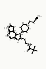 CC(C)(C)C(=O)NCCc1nc2cnc3[nH]ccc3c2n1C1CCN(CCC#N)CC1